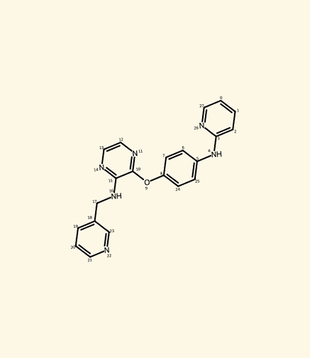 c1ccc(Nc2ccc(Oc3nccnc3NCc3cccnc3)cc2)nc1